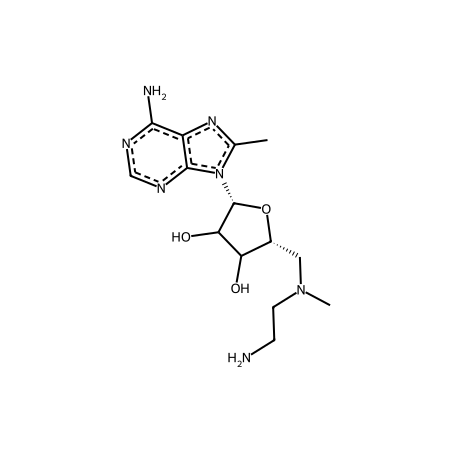 Cc1nc2c(N)ncnc2n1[C@@H]1O[C@H](CN(C)CCN)C(O)C1O